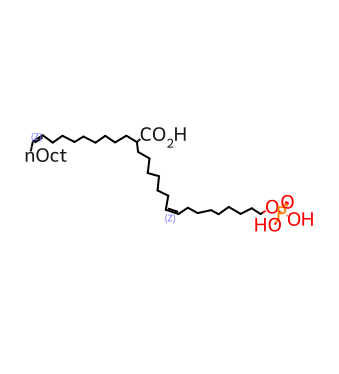 CCCCCCCC/C=C\CCCCCCCCC(CCCCCC/C=C\CCCCCCCCOP(=O)(O)O)C(=O)O